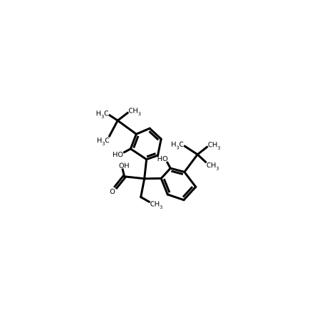 CCC(C(=O)O)(c1cccc(C(C)(C)C)c1O)c1cccc(C(C)(C)C)c1O